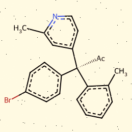 CC(=O)[C@](c1ccc(Br)cc1)(c1ccnc(C)c1)c1ccccc1C